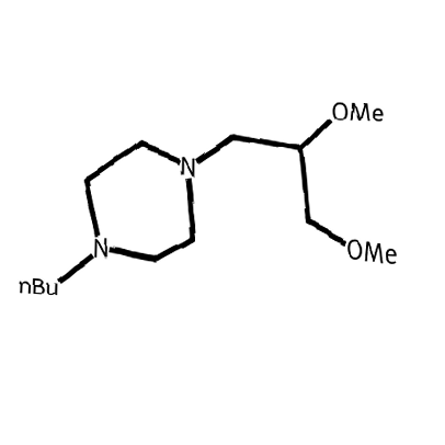 CCCCN1CCN(CC(COC)OC)CC1